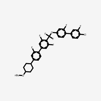 CCCCOC1CCC(c2ccc(-c3cc(F)c(C(F)(F)Oc4ccc(-c5ccc(Cl)c(F)c5)c(F)c4)c(F)c3)c(F)c2)CC1